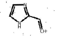 [CH]=Cc1ncc[nH]1